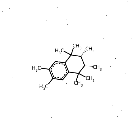 Cc1cc2c(cc1C)C(C)(C)[C@@H](C)[C@@H](C)C2(C)C